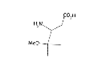 COC(C)(C)C(N)CC(=O)O